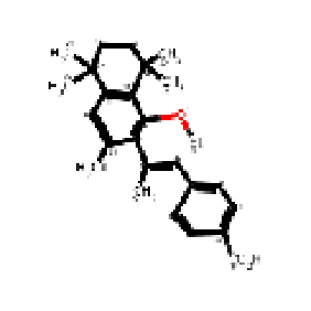 CCOc1c(C(C)=Cc2ccc(C(=O)O)cc2)c(C)cc2c1C(C)(C)CCC2(C)C